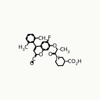 Cc1cccc(C)c1C1=CC(=C=O)Oc2cc(O[C@H](C)C(=O)N3CCC[C@H](C(=O)O)C3)c(F)cc21